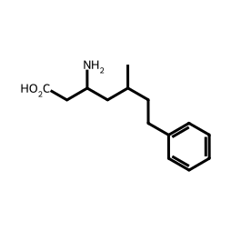 CC(CCc1ccccc1)CC(N)CC(=O)O